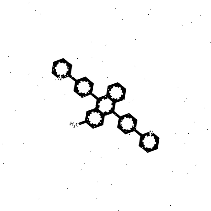 Cc1ccc2c(-c3ccc(-c4ccccn4)cc3)c3ccccc3c(-c3ccc(-c4ccccn4)cc3)c2c1